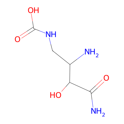 NC(=O)C(O)C(N)CNC(=O)O